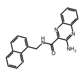 Nc1nc2ccccc2nc1C(=O)NCc1cccc2ccccc12